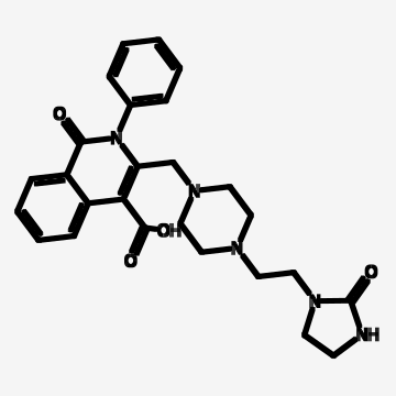 O=C(O)c1c(CN2CCN(CCN3CCNC3=O)CC2)n(-c2ccccc2)c(=O)c2ccccc12